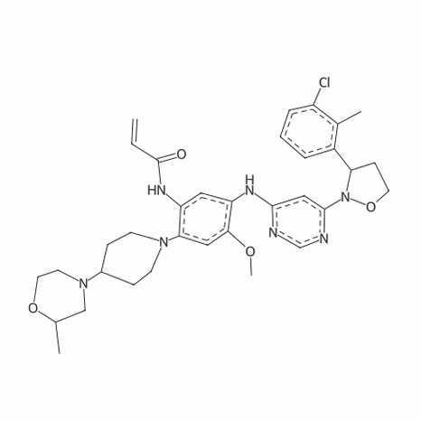 C=CC(=O)Nc1cc(Nc2cc(N3OCCC3c3cccc(Cl)c3C)ncn2)c(OC)cc1N1CCC(N2CCOC(C)C2)CC1